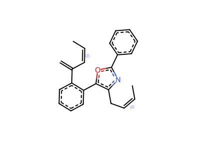 C=C(/C=C\C)c1ccccc1-c1oc(-c2ccccc2)nc1C/C=C\C